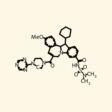 COc1ccc2c(c1)C=C(C(=O)N1CCN(c3ncncn3)CC1)CN1c3cc(C(=O)NS(=O)(=O)N(C)C)ccc3C(C3CCCCC3)C21